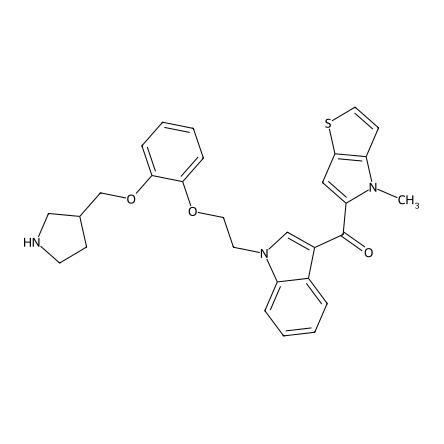 Cn1c(C(=O)c2cn(CCOc3ccccc3OCC3CCNC3)c3ccccc23)cc2sccc21